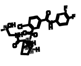 C[C@H](O)CNC(=O)C[C@]1(O)C2CC[C@@H]1C[C@@H](S(=O)(=O)c1cc(C(=O)Nc3ccc(F)c(F)c3)ccc1Cl)C2